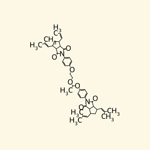 C/C=C\C1CC(C=C(C)C)C2C(=O)N(c3ccc(OCCOC(C)Oc4ccc(N5C(=O)C6C(C=C(C)C)CC(C=C(C)C)C6C5=O)cc4)cc3)C(=O)C12